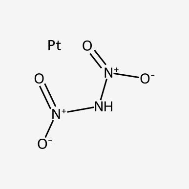 O=[N+]([O-])N[N+](=O)[O-].[Pt]